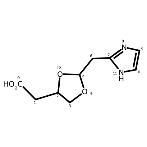 O=C(O)CC1COC(Cc2ncc[nH]2)O1